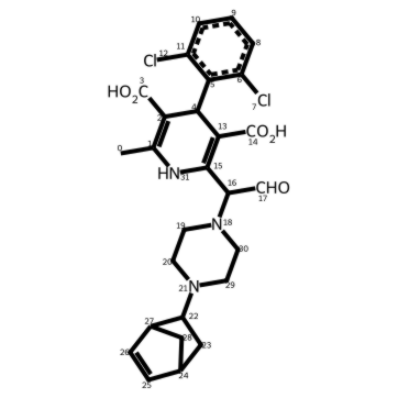 CC1=C(C(=O)O)C(c2c(Cl)cccc2Cl)C(C(=O)O)=C(C(C=O)N2CCN(C3CC4C=CC3C4)CC2)N1